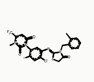 Cc1ccccc1CN1C(=O)CSC1=Nc1cc(-n2c(=O)cc(C(F)(F)F)n(C)c2=O)c(F)cc1Cl